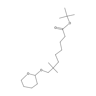 CC(C)(CCCCCC(=O)OC(C)(C)C)COC1CCCCO1